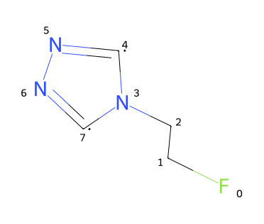 FCCn1[c]nn[c]1